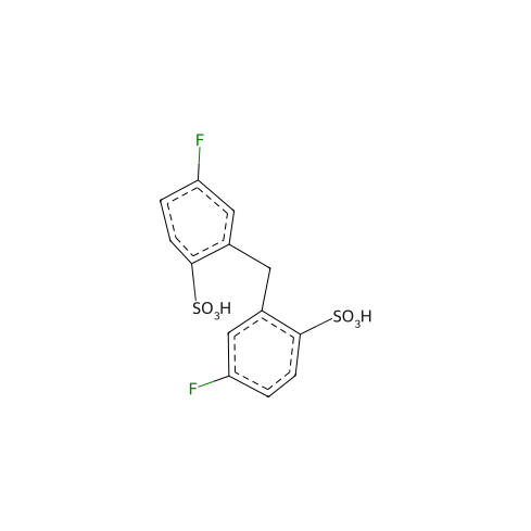 O=S(=O)(O)c1ccc(F)cc1Cc1cc(F)ccc1S(=O)(=O)O